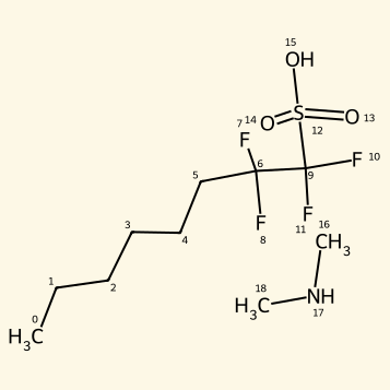 CCCCCCC(F)(F)C(F)(F)S(=O)(=O)O.CNC